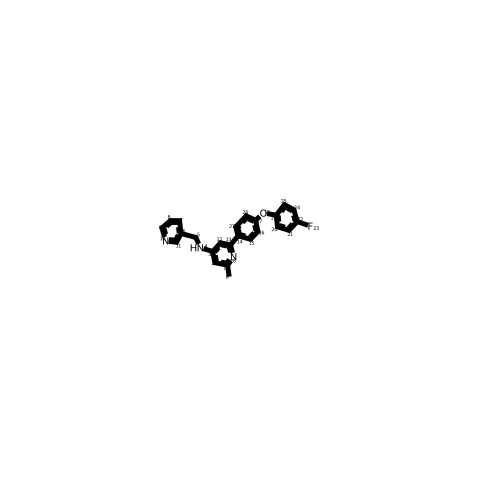 Cc1cc(NCc2cccnc2)cc(-c2ccc(Oc3ccc(F)cc3)cc2)n1